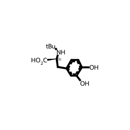 CC(C)(C)N[C@@H](Cc1ccc(O)c(O)c1)C(=O)O